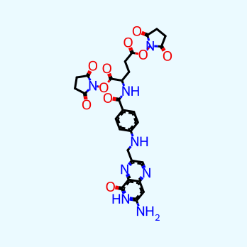 Nc1cc2ncc(CNc3ccc(C(=O)NC(CCC(=O)ON4C(=O)CCC4=O)C(=O)ON4C(=O)CCC4=O)cc3)nc2c(=O)[nH]1